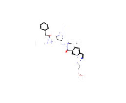 COCCCn1ccc2ccc(C(=O)N(C[C@@H]3CNC[C@H]3CN(C)C(=O)Cc3ccccc3)C(C)C)cc21